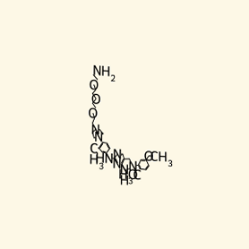 COc1ccc(C)c(N2Cc3cnc(Nc4ccc(N5CCN(CCOCCOCCOCCN)CC5)c(C)c4)nc3NC2=O)c1